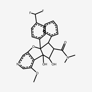 COc1cncc2c1C1(O)C(O)C(C(=O)N(C)C)C(c3ccccc3)C1(c1ccc(C(F)F)cc1)O2